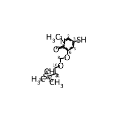 Cn1cc(S)cc(OCOCC[Si](C)(C)C)c1=O